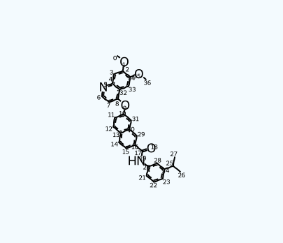 COc1cc2nccc(Oc3ccc4ccc(C(=O)Nc5cccc(C(C)C)c5)cc4c3)c2cc1OC